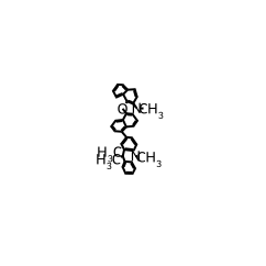 CN1c2ccccc2C(C)(C)c2cc(-c3cccc4c5c(ccc34)N(C)c3ccc4ccccc4c3O5)ccc21